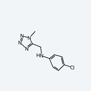 Cn1nnnc1CNc1ccc(Cl)cc1